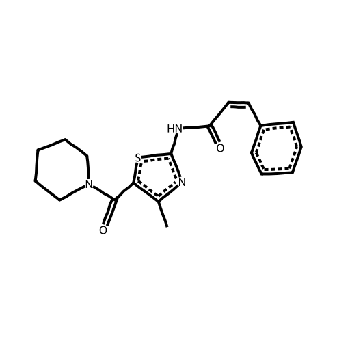 Cc1nc(NC(=O)/C=C\c2ccccc2)sc1C(=O)N1CCCCC1